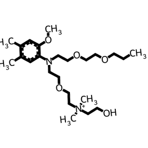 CCCOCCOCCN(CCOCC[N+](C)(C)CCO)c1cc(C)c(C)cc1OC